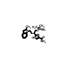 Cc1cc2ccccc2n1CC[C@@H](CO[Si](C)(C)C(C)(C)C)c1nc(C(N)=O)c[nH]1